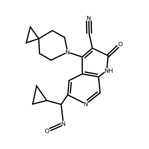 N#Cc1c(N2CCC3(CC2)CC3)c2cc(C(N=O)C3CC3)ncc2[nH]c1=O